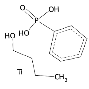 CCCCO.O=P(O)(O)c1ccccc1.[Ti]